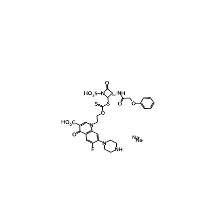 O=C(COc1ccccc1)N[C@H]1C(=O)N(S(=O)(=O)O)C1SC(=S)OCCn1cc(C(=O)O)c(=O)c2cc(F)c(N3CCNCC3)cc21.[Na].[Na]